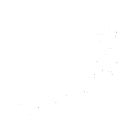 O=C(O)NCCCCCC(=O)N1CCC(n2cc(-c3cnc4ccccc4n3)cn2)CC1